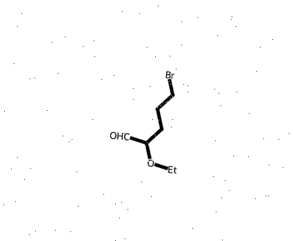 CCOC(C=O)CCCBr